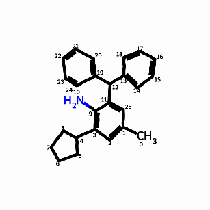 Cc1cc(C2CCCC2)c(N)c(C(c2ccccc2)c2ccccc2)c1